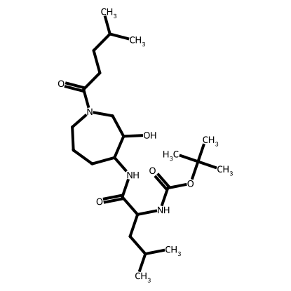 CC(C)CCC(=O)N1CCCC(NC(=O)C(CC(C)C)NC(=O)OC(C)(C)C)C(O)C1